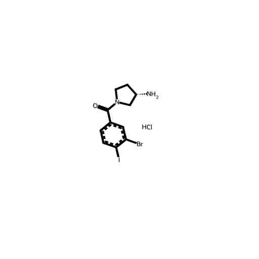 Cl.N[C@H]1CCN(C(=O)c2ccc(I)c(Br)c2)C1